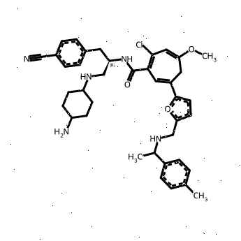 COC1=CC(Cl)=C(C(=O)N[C@@H](CNC2CCC(N)CC2)Cc2ccc(C#N)cc2)C=C(c2ccc(CNC(C)c3ccc(C)cc3)o2)C1